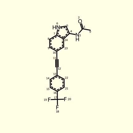 CC(=O)Nc1c[nH]c2ccc(C#Cc3ccc(C(F)(F)F)cc3)cc12